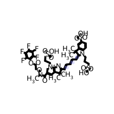 CN(OCC(=O)Oc1c(F)c(F)c(F)c(F)c1F)C(=O)c1cc2c([n+](CCCS(=O)(=O)O)c1)N=C(/C=C/C=C/C=C1/N(CCCS(=O)(=O)O)c3ccc(S(=O)(=O)O)cc3C1(C)C)C2(C)C